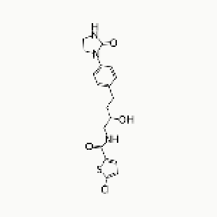 O=C(NC[C@H](O)CCc1ccc(N2CCNC2=O)cc1)c1ccc(Cl)s1